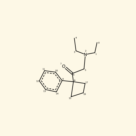 CCN(CC)CC(=O)C1(c2ccccc2)CCC1